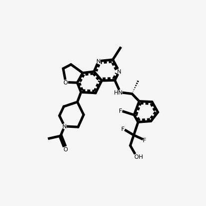 CC(=O)N1CCC(c2cc3c(N[C@H](C)c4cccc(C(F)(F)CO)c4F)nc(C)nc3c3c2OCC3)CC1